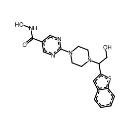 O=C(NO)c1cnc(N2CCN(C(CO)c3cc4ccccc4s3)CC2)nc1